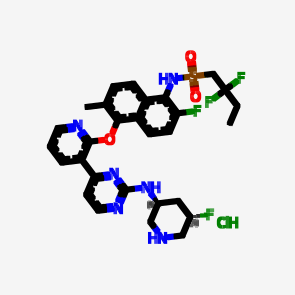 CCC(F)(F)CS(=O)(=O)Nc1c(F)ccc2c(Oc3ncccc3-c3ccnc(N[C@@H]4CNC[C@@H](F)C4)n3)c(C)ccc12.Cl